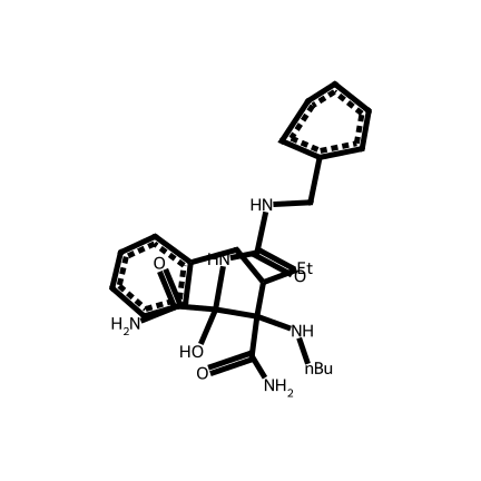 CCCCNC(C(N)=O)(C(CC)Cc1ccccc1)C(O)(NC(=O)NCc1ccccc1)C(N)=O